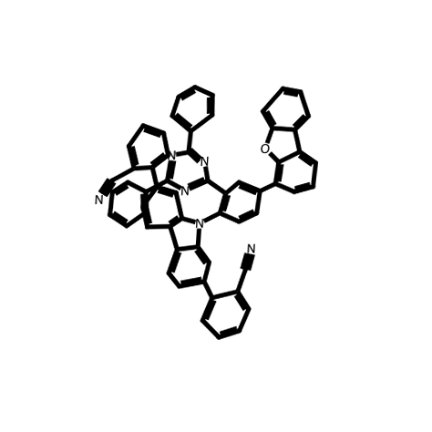 N#Cc1ccccc1-c1ccc2c3ccc(-c4ccccc4C#N)cc3n(-c3ccc(-c4cccc5c4oc4ccccc45)cc3-c3nc(-c4ccccc4)nc(-c4ccccc4)n3)c2c1